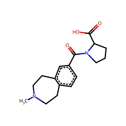 CN1CCc2ccc(C(=O)N3CCCC3C(=O)O)cc2CC1